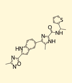 Cc1noc(-c2cc3cc(-c4nc(C(=O)NC(C)c5cccs5)[nH]c4C)ccc3[nH]2)n1